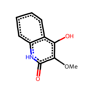 COc1c(O)c2ccccc2[nH]c1=O